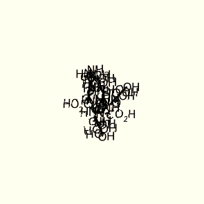 NC(=O)[C@H](CCC(=O)NC[C@H](O)[C@@H](O)[C@H](O)[C@H](O)CO)NC(=O)[C@H](CCC(=O)NC[C@H](O)[C@@H](O)[C@H](O)[C@H](O)CO)NC(=O)[C@H](CCC(=O)O)NC(=O)[C@H](CCC(=O)NC[C@H](O)[C@@H](O)[C@H](O)[C@H](O)CO)NC(=O)CC[C@H](NC(=O)c1ccc(NCc2cnc3nc(N)[nH]c(=O)c3n2)cc1)C(=O)O